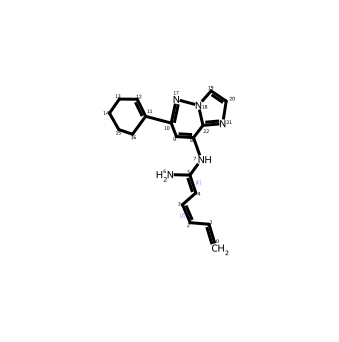 C=C/C=C\C=C(/N)Nc1cc(C2=CCCCC2)nn2ccnc12